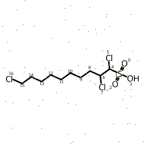 O=S(=O)(O)C(Cl)C(Cl)CCCCCCCCCl